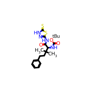 CC(C)(C)OC(=O)NC(C(=O)Nc1n[nH]c(=S)s1)C(C)(C)CCc1ccccc1